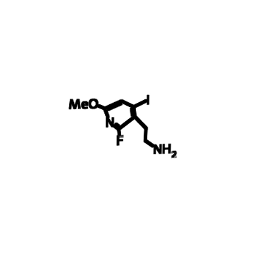 COc1cc(I)c(CCN)c(F)n1